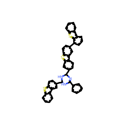 c1ccc(C2=NC(c3ccc4c(c3)sc3ccc(-c5cccc6c5sc5ccccc56)cc34)NC(c3ccc4sc5ccccc5c4c3)N2)cc1